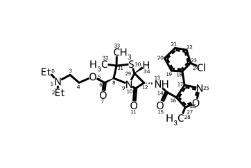 CCN(CC)CCOC(=O)[C@@H]1N2C(=O)[C@@H](NC(=O)c3c(-c4ccccc4Cl)noc3C)[C@H]2SC1(C)C